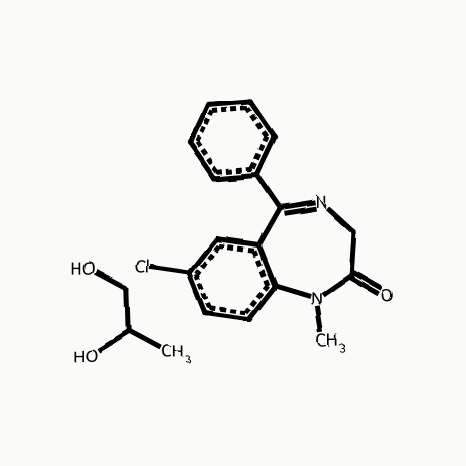 CC(O)CO.CN1C(=O)CN=C(c2ccccc2)c2cc(Cl)ccc21